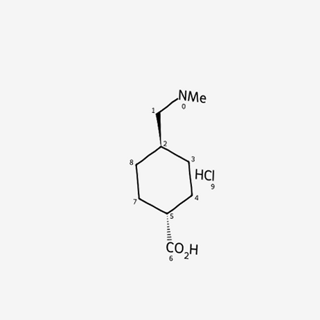 CNC[C@H]1CC[C@H](C(=O)O)CC1.Cl